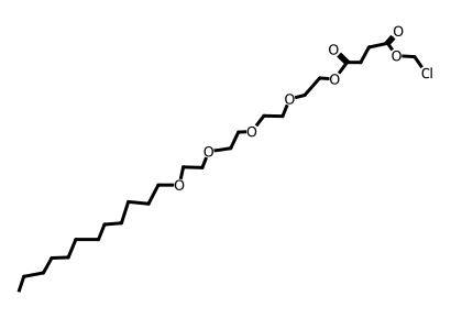 CCCCCCCCCCCCOCCOCCOCCOCCOC(=O)CCC(=O)OCCl